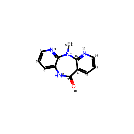 CCN1c2ncccc2NC(=O)c2cccnc21